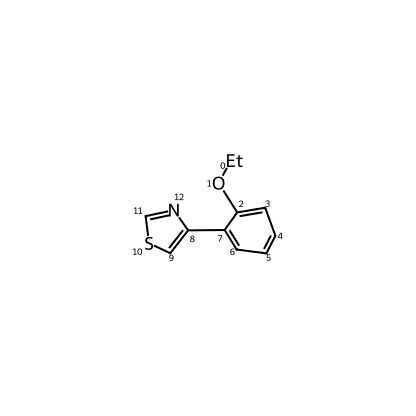 CCOc1ccccc1-c1cscn1